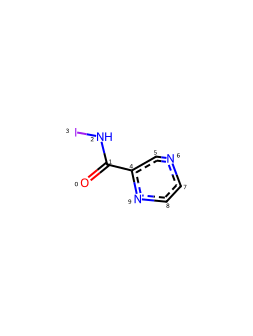 O=C(NI)c1cnccn1